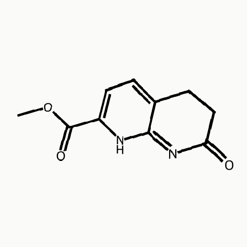 COC(=O)C1=CC=C2CCC(=O)N=C2N1